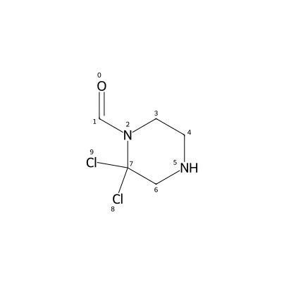 O=CN1CCNCC1(Cl)Cl